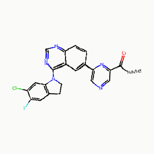 CNC(=O)c1cncc(-c2ccc3ncnc(N4CCc5cc(F)c(Cl)cc54)c3c2)n1